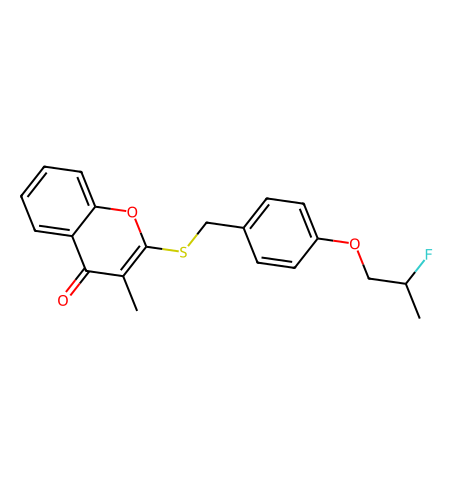 Cc1c(SCc2ccc(OCC(C)F)cc2)oc2ccccc2c1=O